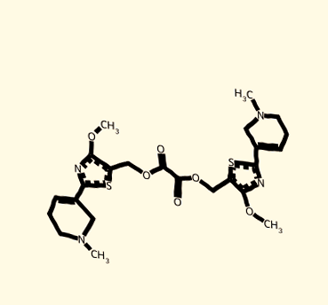 COc1nc(C2=CCCN(C)C2)sc1COC(=O)C(=O)OCc1sc(C2=CCCN(C)C2)nc1OC